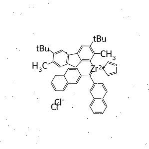 Cc1cc2c(cc1C(C)(C)C)-c1cc(C(C)(C)C)c(C)[c]([Zr+2](=[C](c3ccc4ccccc4c3)c3ccc4ccccc4c3)[CH]3C=CC=C3)c1C2.[Cl-].[Cl-]